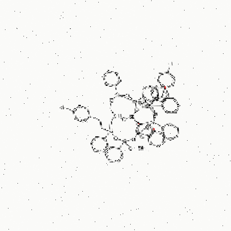 [SiH3]O[Si]1(c2ccccc2)O[Si](/C=C/c2ccc(Cl)cc2)(c2ccccc2)O[SiH]2CO[Si]3(c4ccccc4)O[SiH](c4ccccc4)O[Si]4(c5ccccc5)O[Si](/C=C/c5ccc(Cl)cc5)(c5ccccc5)O[Si](c5ccccc5)(O3)O[Si](c3ccccc3)(O2)O[Si](c2ccccc2)(O1)O4